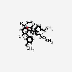 CCc1cccc(-c2c(Cl)cccc2[C@](O)(CCCCOC)[C@@]2(c3ccc(CN)nc3)CN(C=O)CCO2)c1